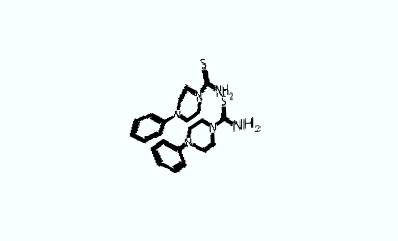 NC(=S)N1CCN(c2ccccc2)CC1.NC(=S)N1CCN(c2ccccc2)CC1